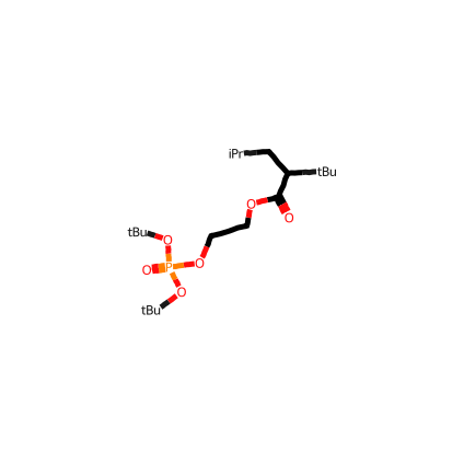 CC(C)CC(C(=O)OCCOP(=O)(OC(C)(C)C)OC(C)(C)C)C(C)(C)C